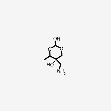 CC1OC(O)OC[C@@]1(O)CN